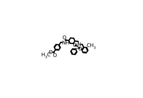 COC(=O)c1ccc(CNC(=O)C2CCC(CN(Cc3ccccc3C)S(=O)(=O)c3ccccc3)CC2)cc1